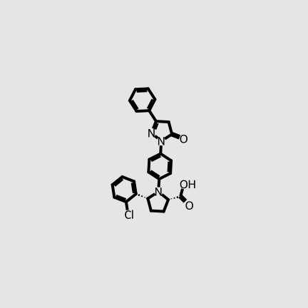 O=C(O)[C@@H]1CC[C@H](c2ccccc2Cl)N1c1ccc(N2N=C(c3ccccc3)CC2=O)cc1